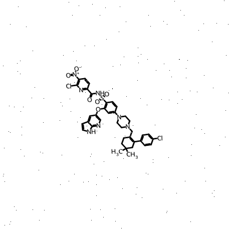 CC1(C)CCC(CN2CCN(c3ccc(S(=O)(=O)NC(=O)c4ccc([N+](=O)[O-])c(Cl)n4)c(Oc4cnc5[nH]ccc5c4)c3)CC2)=C(c2ccc(Cl)cc2)C1